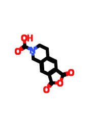 O=C1OC(=O)c2cc3c(cc21)CCN(C(=O)O)C3